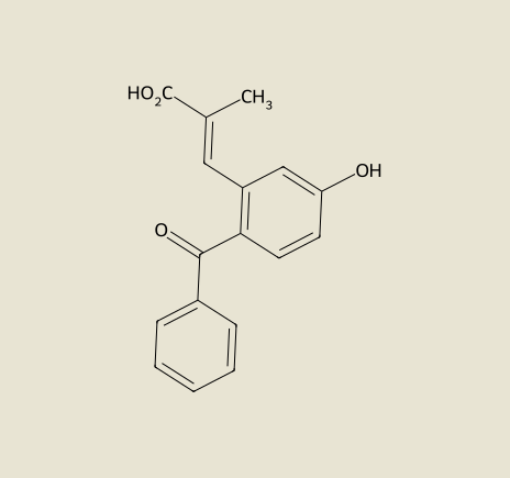 CC(=Cc1cc(O)ccc1C(=O)c1ccccc1)C(=O)O